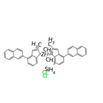 CC1=Cc2c(-c3ccc4ccccc4c3)cccc2[CH]1[Zr+2]([CH3])([CH3])[CH]1C(C)=Cc2c(-c3ccc4ccccc4c3)cccc21.[Cl-].[Cl-].[SiH4]